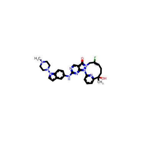 CN1CCN(n2ccc3cc(Nc4ncc5c(=O)n6n(c5n4)-c4cccc(n4)C(C)(O)CC/C=C(/F)C6)ccc32)CC1